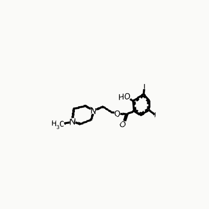 CN1CCN(CCOC(=O)c2cc(I)cc(I)c2O)CC1